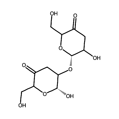 O=C1CC(O)[C@H](OC2CC(=O)C(CO)O[C@H]2O)OC1CO